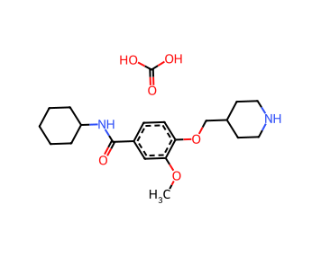 COc1cc(C(=O)NC2CCCCC2)ccc1OCC1CCNCC1.O=C(O)O